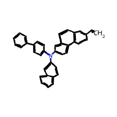 C=Cc1ccc2c(ccc3cc(N(c4ccc(-c5ccccc5)cc4)c4ccc5ccccc5c4)ccc32)c1